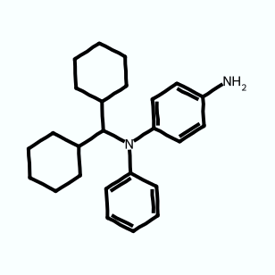 Nc1ccc(N(c2ccccc2)C(C2CCCCC2)C2CCCCC2)cc1